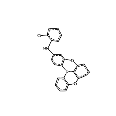 Clc1ccccc1Nc1ccc2c(c1)Oc1cccc3c1N2c1ccccc1O3